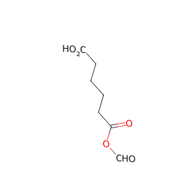 O=COC(=O)CCCCC(=O)O